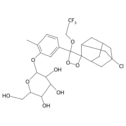 Cc1ccc(C2(OCC(F)(F)F)OOC23C2CC4CC3CC(Cl)(C4)C2)cc1OC1OC(CO)C(O)C(O)C1O